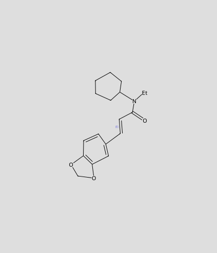 CCN(C(=O)/C=C/c1ccc2c(c1)OCO2)C1CCCCC1